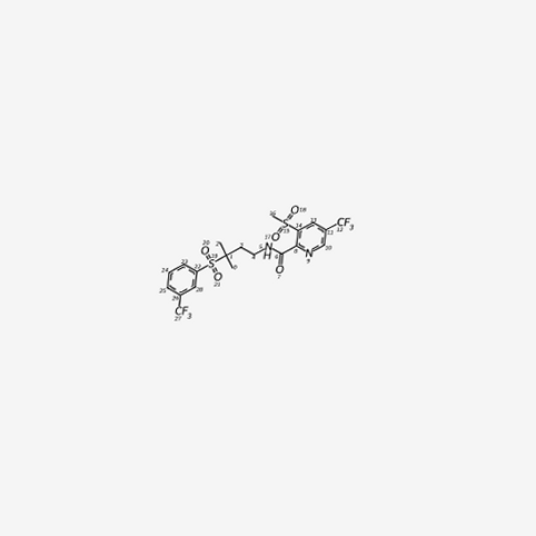 CC(C)(CCNC(=O)c1ncc(C(F)(F)F)cc1S(C)(=O)=O)S(=O)(=O)c1cccc(C(F)(F)F)c1